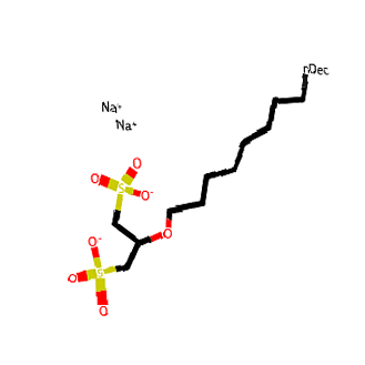 CCCCCCCCCCCCCCCCCCOC(CS(=O)(=O)[O-])CS(=O)(=O)[O-].[Na+].[Na+]